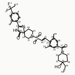 Cc1cc(C(F)(F)F)ccc1C1=NC2(CCN(S(=O)(=O)/C=C/c3c(C)cc(C(=O)N4CCC(O)(CF)CC4)cc3C)CC2)C(=O)N1